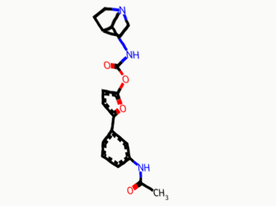 CC(=O)Nc1cccc(-c2ccc(OC(=O)NC3CN4CCC3CC4)o2)c1